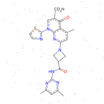 Cc1cc(C)nc(NC(=O)C2CN(c3cc(C)c4c(=O)c(C(=O)O)cn(-c5nccs5)c4n3)C2)n1